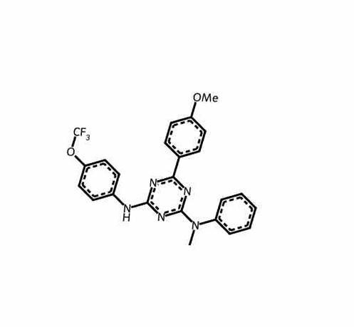 COc1ccc(-c2nc(Nc3ccc(OC(F)(F)F)cc3)nc(N(C)c3ccccc3)n2)cc1